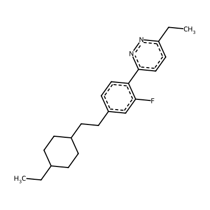 CCc1ccc(-c2ccc(CCC3CCC(CC)CC3)cc2F)nn1